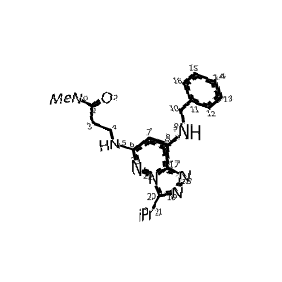 CNC(=O)CCNc1cc(NCc2ccccc2)c2nnc(C(C)C)n2n1